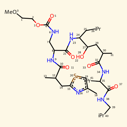 COCCOC(=O)NCC(NC(=O)C(C)Cc1nc(C)cs1)C(=O)NC(CC(C)C)C(O)CC(C)C(=O)NC(C(=O)NCC(C)C)C(C)C